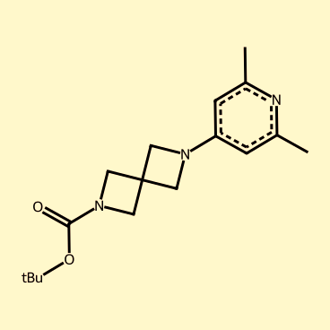 Cc1cc(N2CC3(CN(C(=O)OC(C)(C)C)C3)C2)cc(C)n1